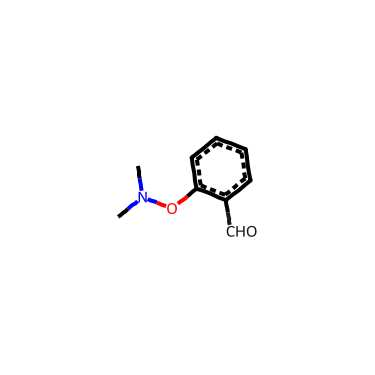 CN(C)Oc1ccccc1C=O